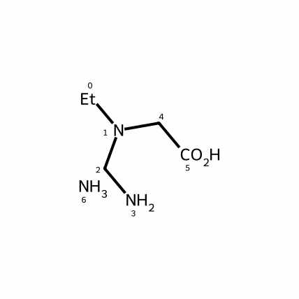 CCN(CN)CC(=O)O.N